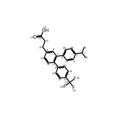 CC(C)c1ccc(-c2cc(CCC(=O)O)ccc2-c2ccc(C(F)(F)F)cc2)cc1